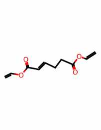 C=COC(=O)C=CCCC(=O)OC=C